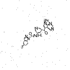 CC(C)n1cc(C(=O)c2cncc(NC(=O)Cn3ncc4cc(F)ccc43)c2)c2cncnc21